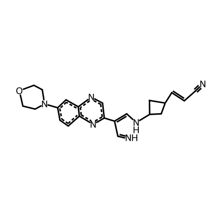 N#C/C=C/C1CC(N/C=C(\C=N)c2cnc3cc(N4CCOCC4)ccc3n2)C1